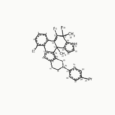 CCc1cccc2c1-n1nc3c(c1C1(C)C2=C(F)C(C)(F)c2[nH]ccc21)CN(c1ncc(C(C)C)cn1)CC3